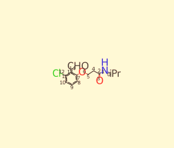 CC(C)NC(=O)CCOc1cccc(Cl)c1C=O